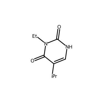 CCn1c(=O)[nH]cc(C(C)C)c1=O